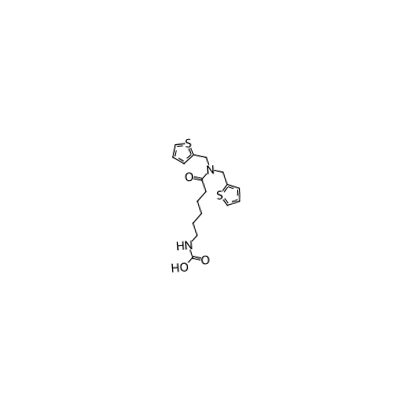 O=C(O)NCCCCCC(=O)N(Cc1cccs1)Cc1cccs1